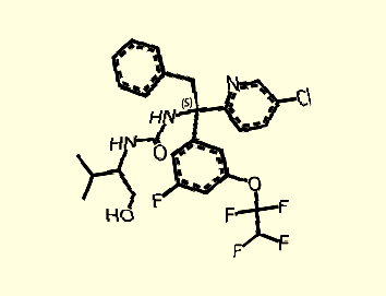 CC(C)C(CO)NC(=O)N[C@@](Cc1ccccc1)(c1cc(F)cc(OC(F)(F)C(F)F)c1)c1ccc(Cl)cn1